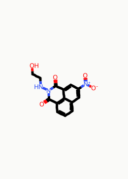 O=C1c2cccc3cc([N+](=O)[O-])cc(c23)C(=O)N1NCCO